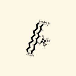 CC(C)CCCCCCCCCC(=O)O.CC(C)CCCCCCCCCC(=O)O.O=P(O)(O)O